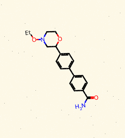 CCON1CCOC(c2ccc(-c3ccc(C(N)=O)cc3)cc2)C1